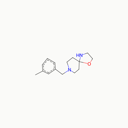 Cc1cccc(CN2CCC3(CC2)NCCO3)c1